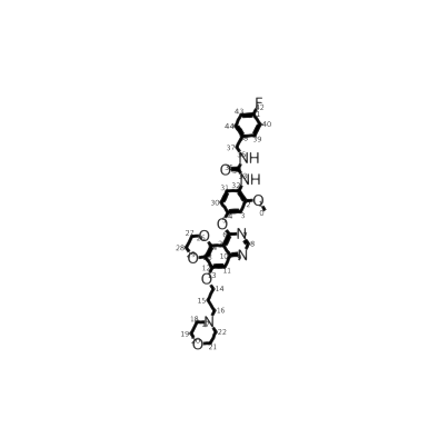 COc1cc(Oc2ncnc3cc(OCCCN4CCOCC4)c4c(c23)OCCO4)ccc1NC(=O)NCc1ccc(F)cc1